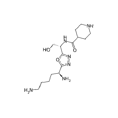 NCCCC[C@H](N)c1nnc([C@H](CO)NC(=O)C2CCNCC2)o1